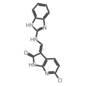 O=C1Nc2nc(Cl)ccc2/C1=C/Nc1nc2ccccc2[nH]1